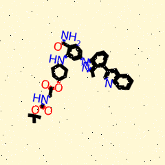 Cc1nn(-c2ccc(C(N)=O)c(NC3CCC(OC(=O)CNC(=O)OC(C)(C)C)CC3)c2)c2cccc(-c3cnc4ccccc4c3)c12